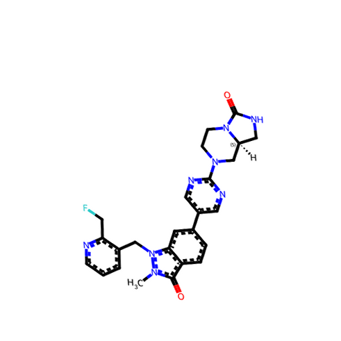 Cn1c(=O)c2ccc(-c3cnc(N4CCN5C(=O)NC[C@H]5C4)nc3)cc2n1Cc1cccnc1CF